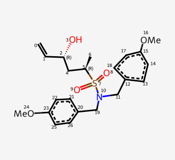 C=C[C@H](O)C[C@@H](C)S(=O)(=O)N(Cc1ccc(OC)cc1)Cc1ccc(OC)cc1